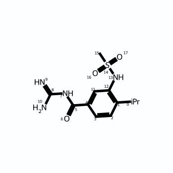 CC(C)c1ccc(C(=O)NC(=N)N)cc1NS(C)(=O)=O